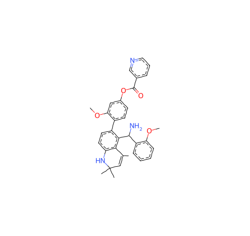 COc1cc(OC(=O)c2cccnc2)ccc1-c1ccc2c(c1C(N)c1ccccc1OC)C(C)=CC(C)(C)N2